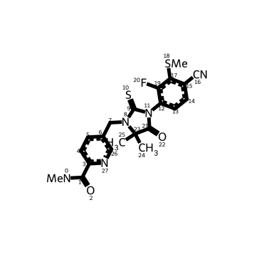 CNC(=O)c1ccc(CN2C(=S)N(c3ccc(C#N)c(SC)c3F)C(=O)C2(C)C)cn1